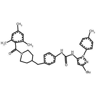 Cc1ccc(-n2nc(C(C)(C)C)cc2NC(=O)Nc2ccc(CC3CCN(C(=O)c4c(C)cc(C)cc4C)CC3)cc2)cc1